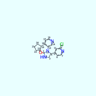 O=C1NCC(c2ccnc(Cl)c2)N1c1cnccc1C1CCCC1